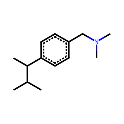 CC(C)C(C)c1ccc(CN(C)C)cc1